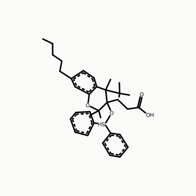 CCCCCc1ccc2c(c1)OC(C)(C)C(CCC(=O)O)(O[SiH](c1ccccc1)c1ccccc1)C2(C)C(C)(C)C